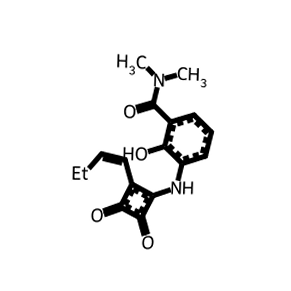 CC/C=C\c1c(Nc2cccc(C(=O)N(C)C)c2O)c(=O)c1=O